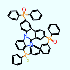 O=P(c1ccccc1)(c1ccccc1)c1ccc2c(c1)c1ccc(P(=O)(c3ccccc3)c3ccccc3)cc1c1nc3c(P(=S)(c4ccccc4)c4ccccc4)cccc3n21